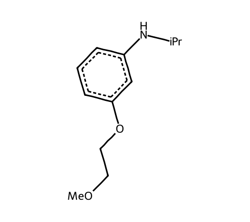 COCCOc1cccc(NC(C)C)c1